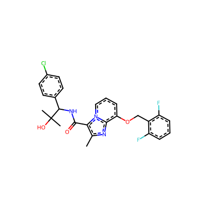 Cc1nc2c(OCc3c(F)cccc3F)cccn2c1C(=O)NC(c1ccc(Cl)cc1)C(C)(C)O